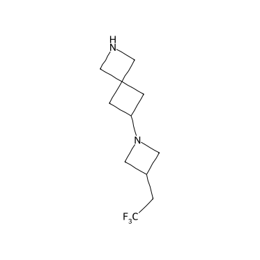 FC(F)(F)CC1CN(C2CC3(CNC3)C2)C1